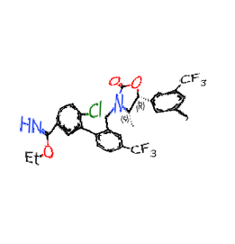 CCOC(=N)c1ccc(Cl)c(-c2ccc(C(F)(F)F)cc2CN2C(=O)O[C@H](c3cc(C)cc(C(F)(F)F)c3)[C@@H]2C)c1